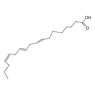 CCC/C=C\CC=CCC=CCCCCCCC(=O)O